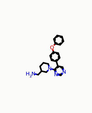 NCC1CCCN(c2ncncc2-c2ccc(Oc3ccccc3)cc2)C1